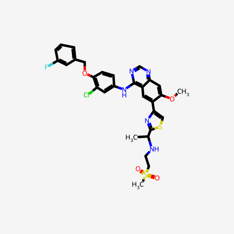 COc1cc2ncnc(Nc3ccc(OCc4cccc(F)c4)c(Cl)c3)c2cc1-c1csc(C(C)NCCS(C)(=O)=O)n1